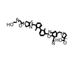 Cc1c(-c2nc3cc(CN4CC[C@@](C)(C(=O)O)C4)cc(C#N)c3o2)cccc1-c1cccc(-c2nc3c(s2)CN(C(=O)CN(C)CCO)C3)c1C